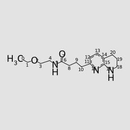 CCOCCNC(=O)CCCc1ccc2c(n1)NCCC2